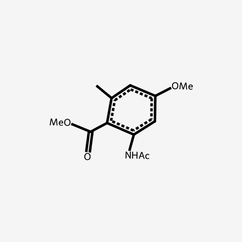 COC(=O)c1c(C)cc(OC)cc1NC(C)=O